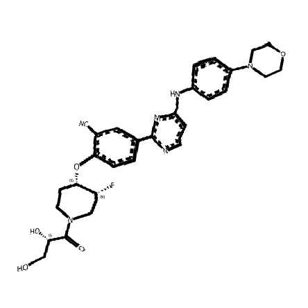 N#Cc1cc(-c2nccc(Nc3ccc(N4CCOCC4)cc3)n2)ccc1O[C@H]1CCN(C(=O)[C@@H](O)CO)C[C@H]1F